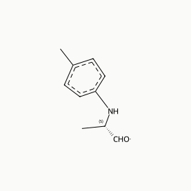 Cc1ccc(N[C@@H](C)[C]=O)cc1